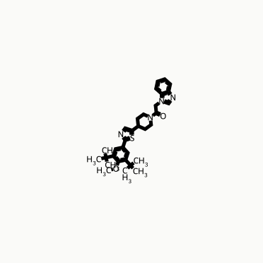 COc1c(C(C)(C)C)cc(-c2ncc(C3CCN(C(=O)Cn4cnc5ccccc54)CC3)s2)cc1C(C)(C)C